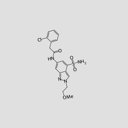 COCCn1cc2c(S(N)(=O)=O)cc(NC(=O)Cc3ccccc3Cl)cc2n1